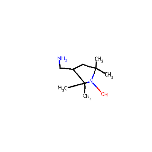 CC1(C)CC(CN)C(C)(C)N1O